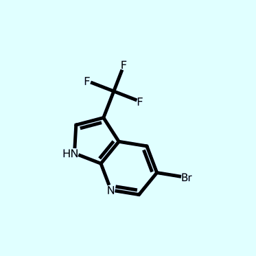 FC(F)(F)c1c[nH]c2ncc(Br)cc12